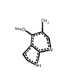 COc1c(C)cnc2[nH]ccc12